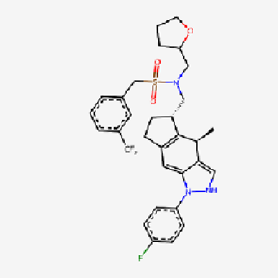 C[C@H]1C2=CNN(c3ccc(F)cc3)C2=CC2=C1[C@@H](CN(CC1CCCO1)S(=O)(=O)Cc1cccc(C(F)(F)F)c1)CC2